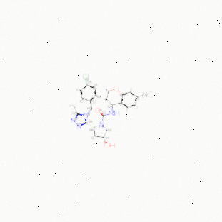 [C-]#[N+]c1ccc2c(c1)OCCC2NC(=O)N1C[C@@H](O)C[C@@H]1c1nnc(C)n1Cc1ccc(Cl)cc1